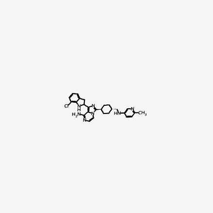 Cc1ccc(NC[C@H]2CC[C@H](c3nc(C4Cc5cccc(Cl)c5N4)c4c(N)nccn43)CC2)cn1